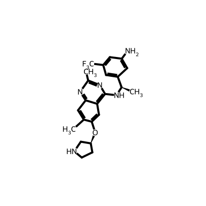 Cc1nc(N[C@H](C)c2cc(N)cc(C(F)(F)F)c2)c2cc(O[C@H]3CCNC3)c(C)cc2n1